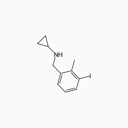 Cc1c(I)cccc1CNC1CC1